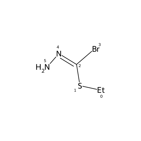 CCS/C(Br)=N\N